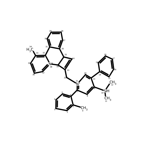 Cc1ccccc1-c1cc([SiH](C)C)c(-c2ccccc2)c[n+]1CC1=CC2c3ccccc3-c3c(C)ccc[n+]3C12